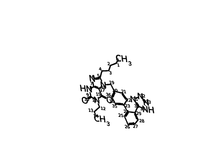 CCCCCc1nc2[nH]c(=O)n(CCC)c(=O)c2n1Cc1ccc(-c2ccccc2-c2nnn[nH]2)cc1